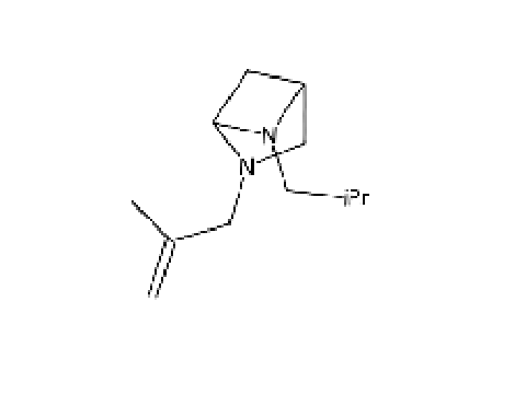 C=C(C)CN1CC2CC1N2CC(C)C